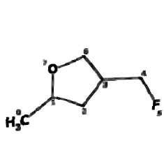 CC1CC(CF)CO1